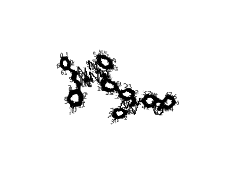 c1ccc(-c2cc(-c3ccccc3)nc(-n3c4ccc(-c5ccc6c(c5)n5c7ccccc7nc5n6-c5ccc6c(c5)oc5ccccc56)cc4n4c5ccccc5nc34)n2)cc1